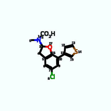 CN(C(=O)O)C1Cc2cc(Cl)cc(-c3ccsc3)c2O1